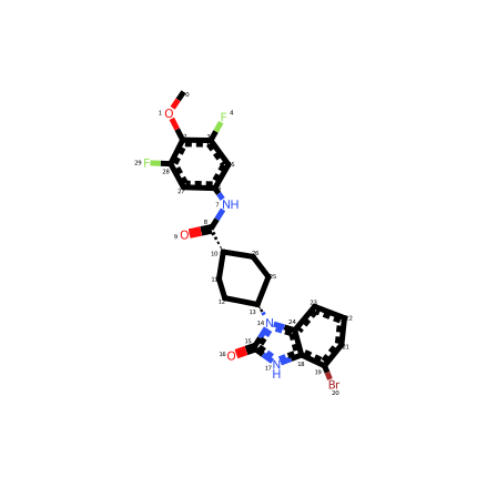 COc1c(F)cc(NC(=O)[C@H]2CC[C@@H](n3c(=O)[nH]c4c(Br)cccc43)CC2)cc1F